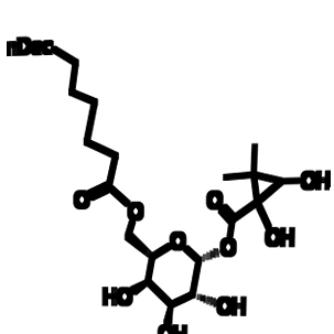 CCCCCCCCCCCCCCCC(=O)OC[C@H]1O[C@H](OC(=O)C2(O)C(O)C2(C)C)[C@H](O)[C@@H](O)[C@H]1O